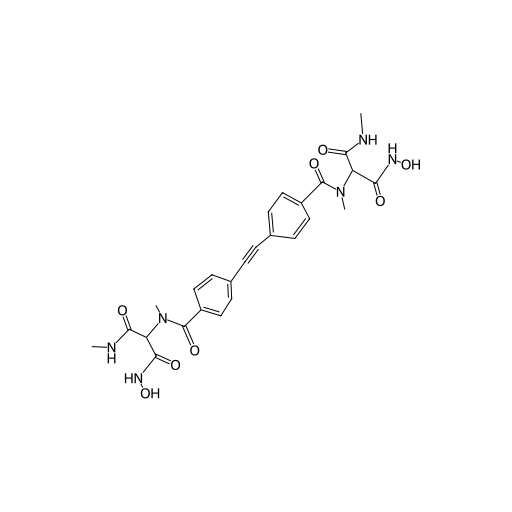 CNC(=O)C(C(=O)NO)N(C)C(=O)c1ccc(C#Cc2ccc(C(=O)N(C)C(C(=O)NC)C(=O)NO)cc2)cc1